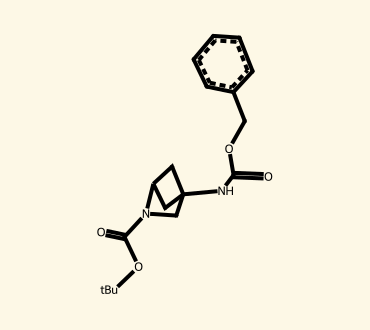 CC(C)(C)OC(=O)N1CC2(NC(=O)OCc3ccccc3)CC1C2